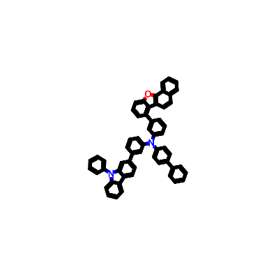 c1ccc(-c2ccc(N(c3cccc(-c4ccc5c6ccccc6n(-c6ccccc6)c5c4)c3)c3cccc(-c4cccc5oc6c7ccccc7ccc6c45)c3)cc2)cc1